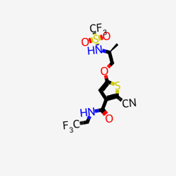 C[C@@H](COc1cc(C(=O)NCC(F)(F)F)c(C#N)s1)NS(=O)(=O)C(F)(F)F